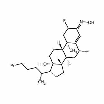 CC(C)CCC[C@@H](C)[C@H]1CC[C@H]2[C@@H]3CC(F)C4=CC(=NO)C(F)C[C@]4(C)[C@H]3CC[C@]12C